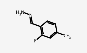 NN=Cc1ccc(C(F)(F)F)cc1F